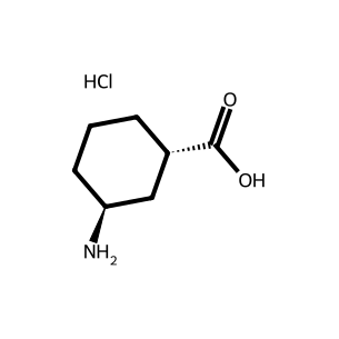 Cl.N[C@H]1CCC[C@H](C(=O)O)C1